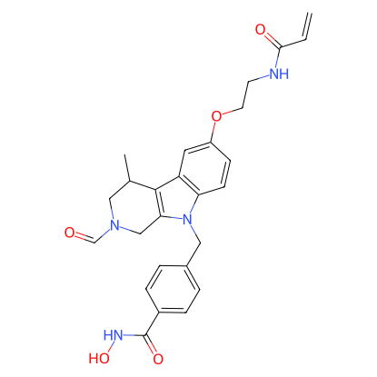 C=CC(=O)NCCOc1ccc2c(c1)c1c(n2Cc2ccc(C(=O)NO)cc2)CN(C=O)CC1C